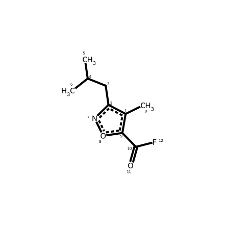 Cc1c(CC(C)C)noc1C(=O)F